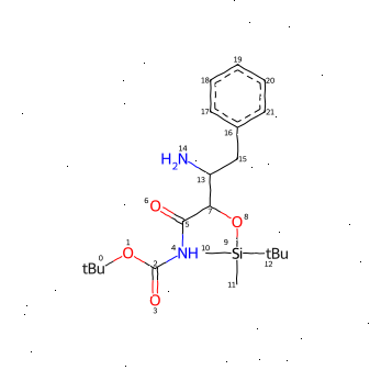 CC(C)(C)OC(=O)NC(=O)C(O[Si](C)(C)C(C)(C)C)C(N)Cc1ccccc1